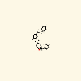 C[C@H]1CC2C[C@@H](S(=O)(=O)c3cc(C(=O)Nc4ccc(F)c(F)c4)ccc3Cl)CC1[C@@]2(O)[C@@H](O)c1ccc(F)cn1